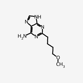 COCCCCc1nc(N)c2nc[nH]c2n1